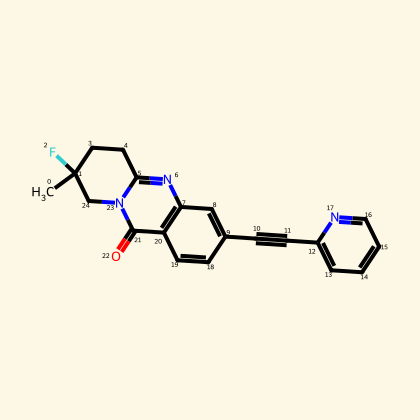 CC1(F)CCc2nc3cc(C#Cc4ccccn4)ccc3c(=O)n2C1